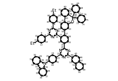 CCc1ccc(-c2nc(-c3ccc(CC)cc3)nc(-c3cc(-c4nc(-c5ccc(-n6c7ccccc7c7ccccc76)cc5)nc(-c5ccc6ccccc6c5)n4)ccc3-c3ccc4c(c3)OC(c3ccccc3)(c3ccccc3)c3ccccc3-4)n2)cc1